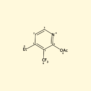 CCc1ccnc(OC(C)=O)c1C(F)(F)F